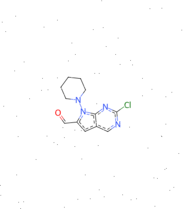 O=Cc1cc2cnc(Cl)nc2n1N1CCCCC1